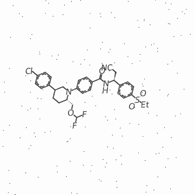 CCS(=O)(=O)c1ccc([C@H](CC#N)NC(=O)c2ccc(N3CC(c4ccc(Cl)cc4)CC[C@H]3COC(F)F)cc2)cc1